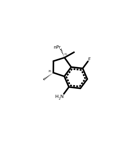 CCC[C@@]1(C)C[C@@H](C)c2c(N)ccc(F)c21